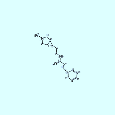 CC(C)N1CC2C(CCNC(=O)/C=C/c3cccnc3)C2C1